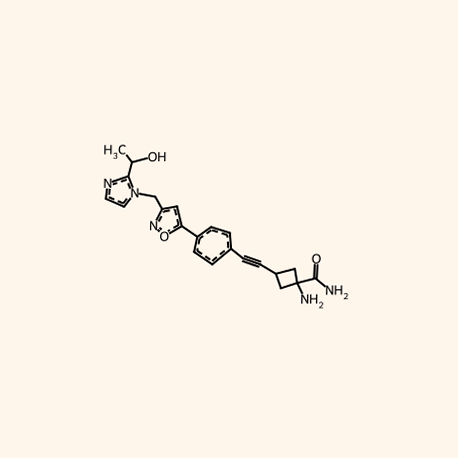 CC(O)c1nccn1Cc1cc(-c2ccc(C#CC3CC(N)(C(N)=O)C3)cc2)on1